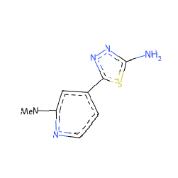 CNc1cc(-c2nnc(N)s2)ccn1